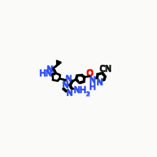 N#Cc1ccnc(NC(=O)c2ccc(-c3nc(C4CCc5[nH]nc(C6CC6)c5C4)n4ccnc(N)c34)cc2)c1